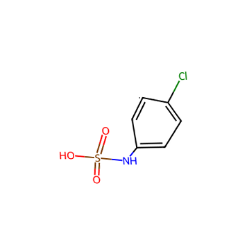 O=S(=O)(O)Nc1c[c]c(Cl)cc1